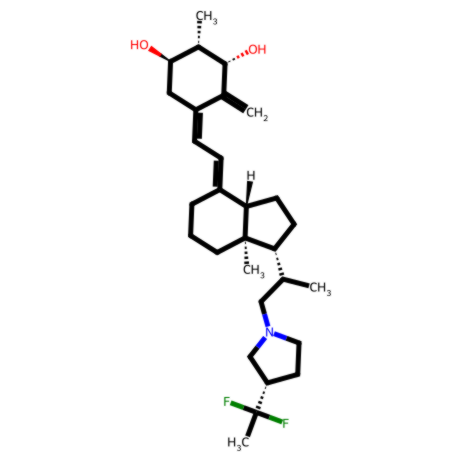 C=C1/C(=C\C=C2/CCC[C@]3(C)[C@@H](C(C)CN4CC[C@H](C(C)(F)F)C4)CC[C@@H]23)C[C@@H](O)[C@H](C)[C@@H]1O